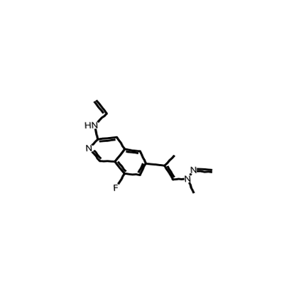 C=CNc1cc2cc(/C(C)=C/N(C)N=C)cc(F)c2cn1